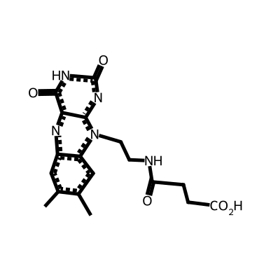 Cc1cc2nc3c(=O)[nH]c(=O)nc-3n(CCNC(=O)CCC(=O)O)c2cc1C